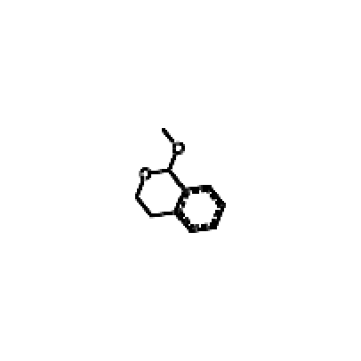 COC1OCCc2ccccc21